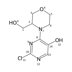 OCC1COCCN1c1nc(Cl)ncc1O